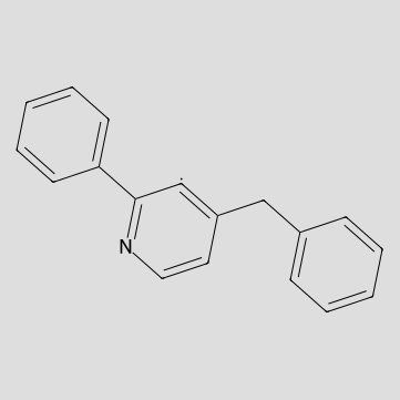 [c]1c(Cc2ccccc2)ccnc1-c1ccccc1